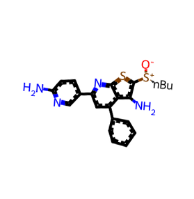 CCCC[S@@+]([O-])c1sc2nc(-c3ccc(N)nc3)cc(-c3ccccc3)c2c1N